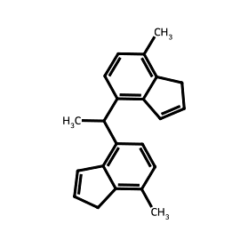 Cc1ccc(C(C)c2ccc(C)c3c2C=CC3)c2c1CC=C2